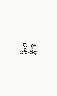 C=C[C@@H](OC(=O)c1ccccc1)[C@H](OCc1ccccc1)[C@H](/C=N/O)OCc1ccccc1